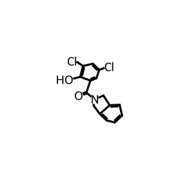 O=C(c1cc(Cl)cc(Cl)c1O)N1Cc2ccccc2C1